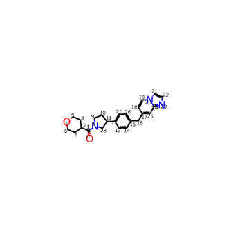 O=C(C1CCOCC1)N1CCC(c2[c]cc(Cc3ccn4ccnc4c3)cc2)C1